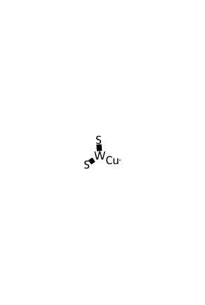 [Cu].[S]=[W]=[S]